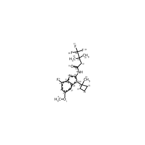 COc1cc(F)c2nc(NC(=O)CC(C)(C)C(F)(F)F)n(C3(C)CCC3)c2c1